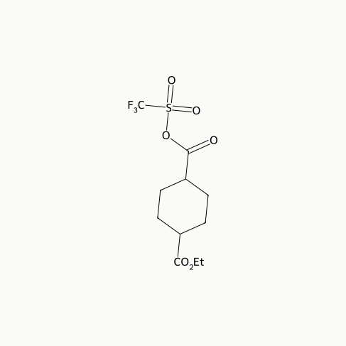 CCOC(=O)C1CCC(C(=O)OS(=O)(=O)C(F)(F)F)CC1